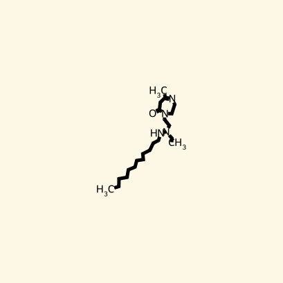 CCCCCCCCCCCCNN(CC)CCN1CCN=C(C)CC1=O